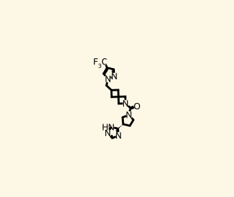 O=C(N1CC[C@H](c2ncn[nH]2)C1)N1CC2(CC(Cn3cc(C(F)(F)F)cn3)C2)C1